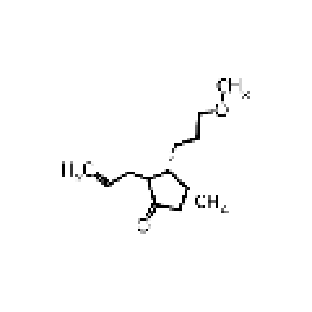 C.C=CCC1C(=O)CC[C@H]1CCCOC